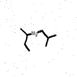 CC[CH](C)[Mg][CH2]C(C)C